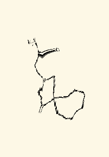 NC(=O)CN1CNC2(CCCCC2)C1